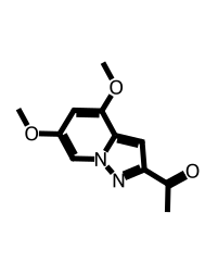 COc1cc(OC)c2cc(C(C)=O)nn2c1